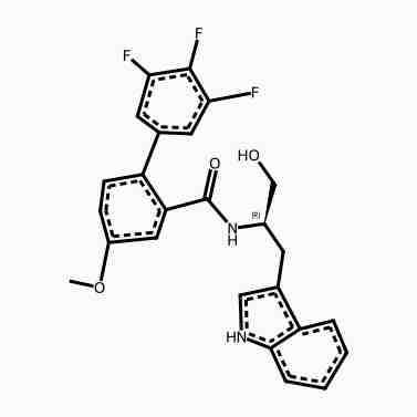 COc1ccc(-c2cc(F)c(F)c(F)c2)c(C(=O)N[C@@H](CO)Cc2c[nH]c3ccccc23)c1